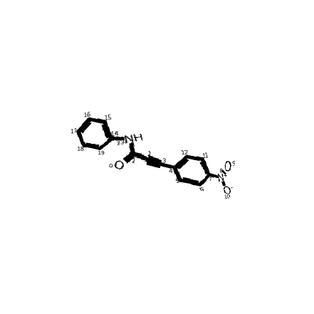 O=C(C#Cc1ccc([N+](=O)[O-])cc1)Nc1ccccc1